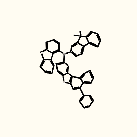 CC1(C)c2ccccc2-c2ccc(N(c3ccc4oc5cc(-c6ccccc6)c6ccccc6c5c4c3)c3cccc4oc5ccccc5c34)cc21